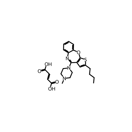 CCCCc1cc2c(s1)Oc1ccccc1N=C2N1CCN(C)CC1.O=C(O)/C=C/C(=O)O